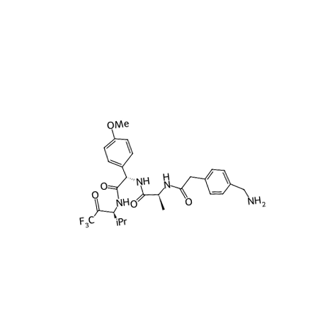 COc1ccc([C@H](NC(=O)[C@H](C)NC(=O)Cc2ccc(CN)cc2)C(=O)N[C@H](C(=O)C(F)(F)F)C(C)C)cc1